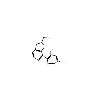 CNCC1Cc2cccc(-c3ccc(OC)cc3OC)c2O1